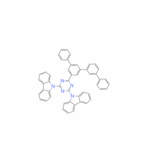 c1ccc(-c2cccc(-c3cc(-c4ccccc4)cc(-c4nc(-n5c6ccccc6c6ccccc65)nc(-n5c6ccccc6c6ccccc65)n4)c3)c2)cc1